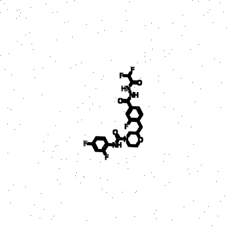 O=C(NNC(=O)C(F)F)c1ccc(CC2CN(C(=O)Nc3ccc(F)cc3F)CCO2)c(F)c1